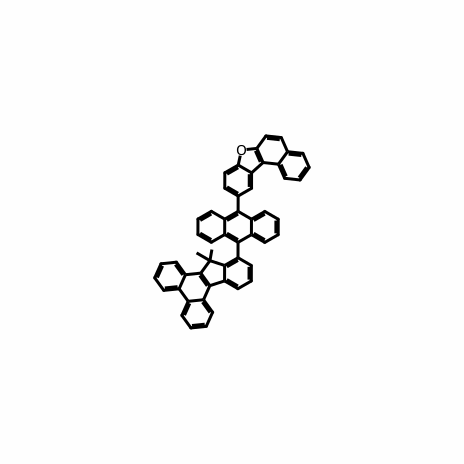 CC1(C)c2c(-c3c4ccccc4c(-c4ccc5oc6ccc7ccccc7c6c5c4)c4ccccc34)cccc2-c2c1c1ccccc1c1ccccc21